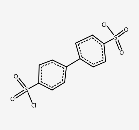 O=S(=O)(Cl)c1ccc(-c2ccc(S(=O)(=O)Cl)cc2)cc1